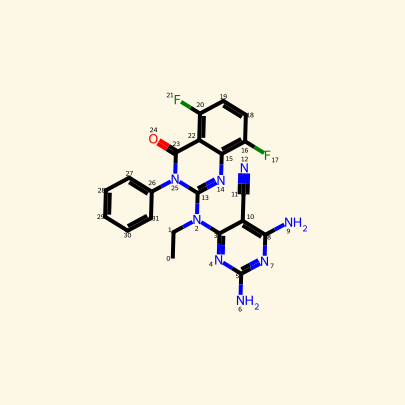 CCN(c1nc(N)nc(N)c1C#N)c1nc2c(F)ccc(F)c2c(=O)n1-c1ccccc1